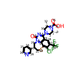 C[C@@H]1CN(c2nc(=O)n3c4c(c(Cl)c(C(F)(F)F)cc24)SC[C@H](c2cccnc2)C3)C[C@H](C)N1C(=O)O